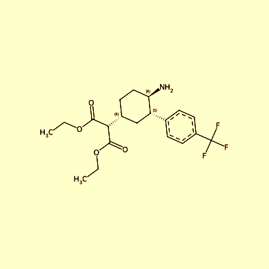 CCOC(=O)C(C(=O)OCC)[C@@H]1CC[C@@H](N)[C@H](c2ccc(C(F)(F)F)cc2)C1